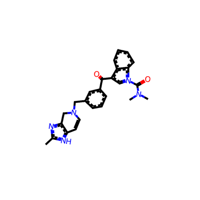 Cc1nc2c([nH]1)C=CN(Cc1cccc(C(=O)c3cn(C(=O)N(C)C)c4ccccc34)c1)C2